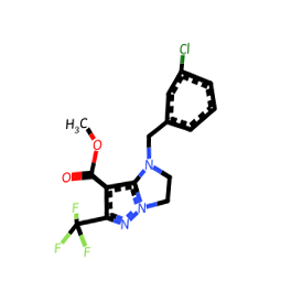 COC(=O)c1c(C(F)(F)F)nn2c1N(Cc1cccc(Cl)c1)CC2